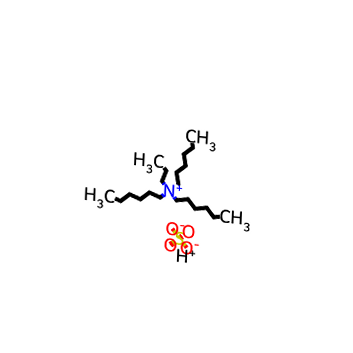 CCCCCC[N+](CCC)(CCCCCC)CCCCCC.O=S(=O)([O-])[O-].[H+]